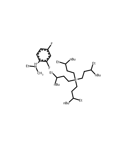 CCCCC(CC)CC[B-](CCC(CC)CCCC)(CCC(CC)CCCC)CCC(CC)CCCC.CC[NH+](C)c1ccc(F)cc1F